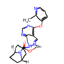 Cc1ncccc1Oc1ncnc2c1cnn2C1C[C@@H]2CC[C@@H](C1)N2C(=O)OC(C)(C)C